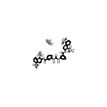 O=C(Nc1cccc(C(=O)N=C2C=Cc3c(cccc3S(=O)(=O)[O-])C2S(=O)(=O)[O-])c1)Nc1cccc(C(=O)N=C2C=Cc3c(cccc3S(=O)(=O)[O-])C2S(=O)(=O)[O-])c1.[Na+].[Na+].[Na+].[Na+]